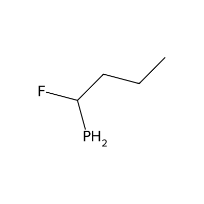 CCCC(F)P